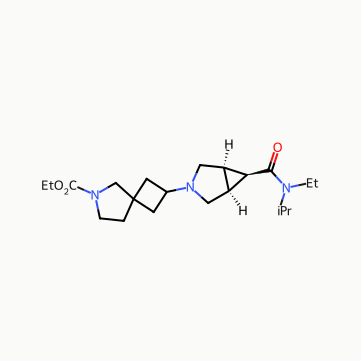 CCOC(=O)N1CCC2(CC(N3C[C@@H]4[C@H](C3)[C@@H]4C(=O)N(CC)C(C)C)C2)C1